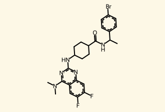 CC(NC(=O)C1CCC(Nc2nc(N(C)C)c3cc(F)c(F)cc3n2)CC1)c1ccc(Br)cc1